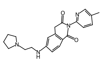 Cc1ccc(N2C(=O)Cc3cc(NCCN4CCCC4)ccc3C2=O)nc1